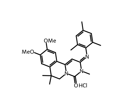 COc1cc2c(cc1OC)C(C)(C)Cn1c-2cc(=Nc2c(C)cc(C)cc2C)n(C)c1=O.Cl